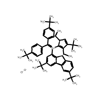 CCC1=[C]([Zr+2](=[C](c2ccc(C(C)(C)C)cc2)c2ccc(C(C)(C)C)cc2)[c]2cc(C(C)(C)C)cc3c2Cc2ccc(C(C)(C)C)cc2-3)C(CC)C=C1C(C)(C)C.[Cl-].[Cl-]